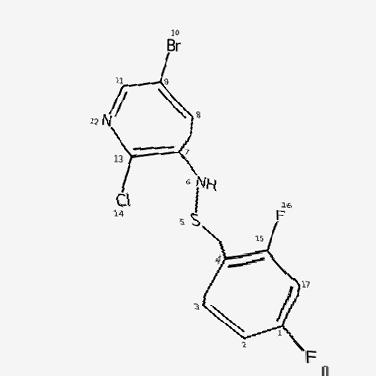 Fc1ccc(SNc2cc(Br)cnc2Cl)c(F)c1